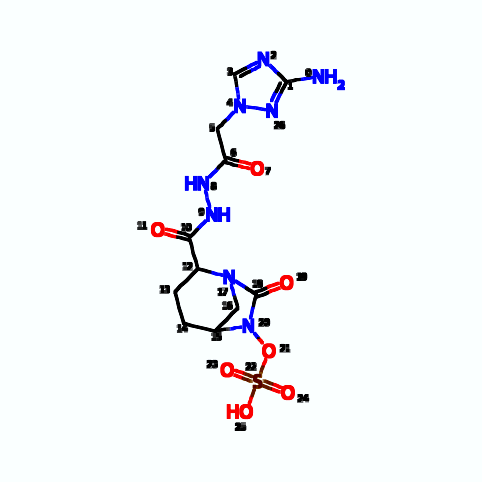 Nc1ncn(CC(=O)NNC(=O)C2CCC3CN2C(=O)N3OS(=O)(=O)O)n1